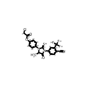 CC1C(=O)N(c2ccc(C#N)c(C(F)(F)F)c2)C(=S)N1c1ccc(OC(=O)CCl)cc1